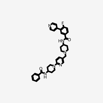 O=C(NC1CCN(Cc2ccc(N3CCC(NC(=O)c4ccccc4)CC3)nc2)CC1)c1ccc(F)c(-c2ccncc2)c1